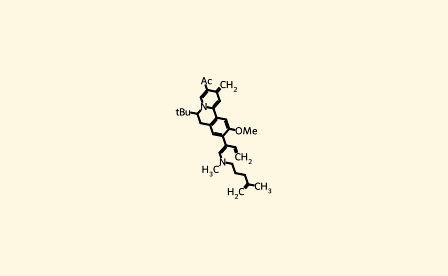 C=C/C(=C\N(C)CCCC(=C)C)c1cc2c(cc1OC)C1=CC(=C)C(C(C)=O)=CN1C(C(C)(C)C)C2